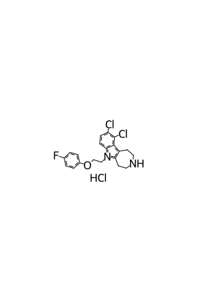 Cl.Fc1ccc(OCCn2c3c(c4c(Cl)c(Cl)ccc42)CCNCC3)cc1